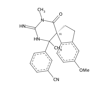 COc1ccc2c(c1)CC[C@]21C(=O)N(C)C(=N)NC1(C)c1cccc(C#N)c1